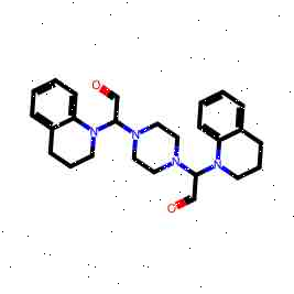 O=CC(N1CCN(C(C=O)N2CCCc3ccccc32)CC1)N1CCCc2ccccc21